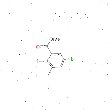 COC(=O)c1cc(Br)cc(C)c1F